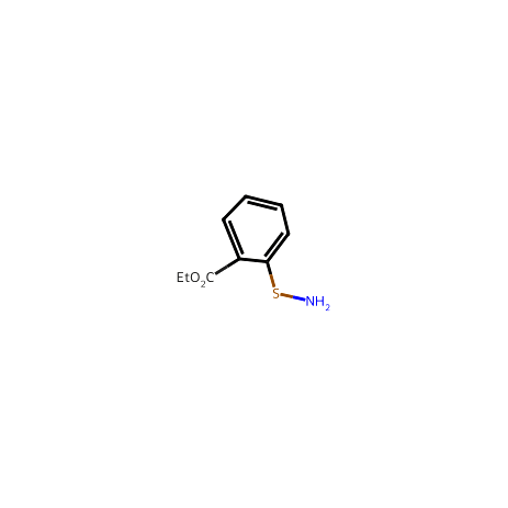 CCOC(=O)c1ccccc1SN